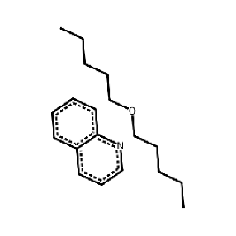 CCCCCOCCCCC.c1ccc2ncccc2c1